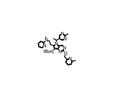 Cc1cccc(COc2ncc3c(n2)c(SC(C)(C)C)c(CCN(C)c2ccccn2)n3C(C)c2cnc(C)nc2)n1